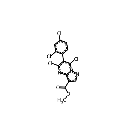 COC(=O)c1cnn2c(Cl)c(-c3ccc(Cl)cc3Cl)c(Cl)nc12